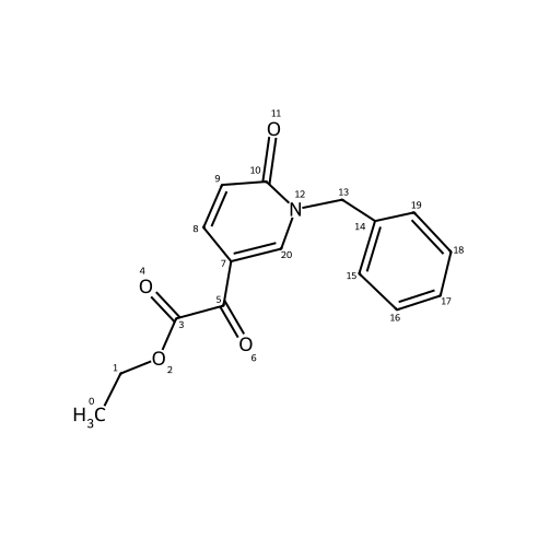 CCOC(=O)C(=O)c1ccc(=O)n(Cc2ccccc2)c1